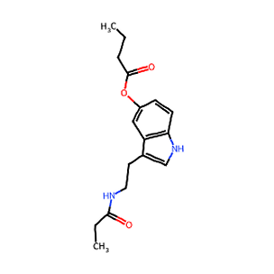 CCCC(=O)Oc1ccc2[nH]cc(CCNC(=O)CC)c2c1